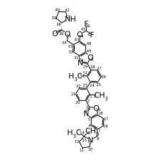 Cc1c(-c2nc3cc(CN4CCCC4(C)C)ccc3o2)cccc1-c1cccc(-c2nc3cc(COC(=O)[C@@H]4CCCN4)c(OC(F)F)cc3o2)c1C